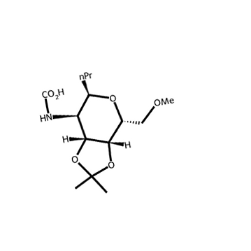 CCC[C@H]1O[C@H](COC)[C@@H]2OC(C)(C)O[C@@H]2[C@H]1NC(=O)O